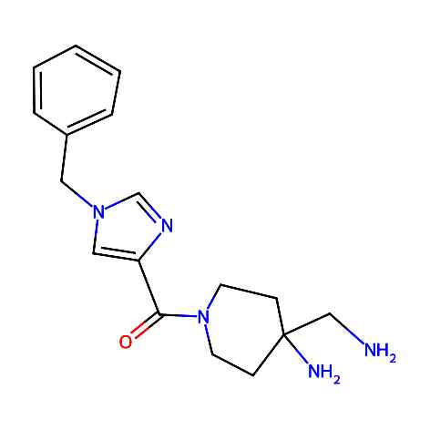 NCC1(N)CCN(C(=O)c2cn(Cc3ccccc3)cn2)CC1